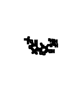 [2H]C([2H])([2H])SC[C@@H](C(=O)O)N(C)C(=O)[C@@H](NC(=O)OC(C)(C)C)C(C)(C)C